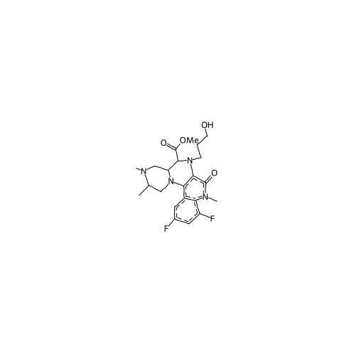 COC(=O)C1C2CN(C)C(C)CN2c2c(c(=O)n(C)c3c(F)cc(F)cc23)N1CCCO